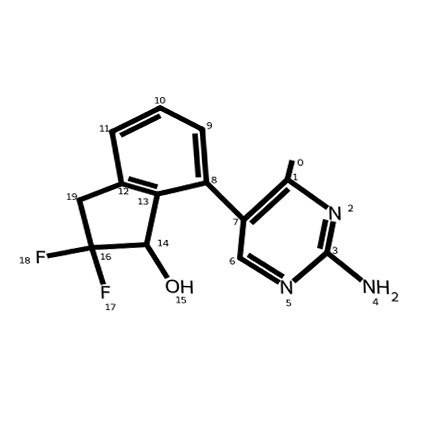 Cc1nc(N)ncc1-c1cccc2c1C(O)C(F)(F)C2